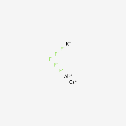 [Al+3].[Cs+].[F-].[F-].[F-].[F-].[F-].[K+]